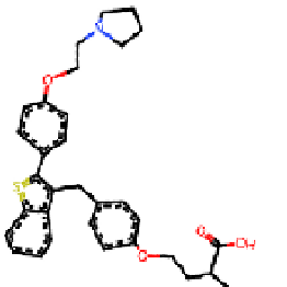 CC(CCOc1ccc(Cc2c(-c3ccc(OCCN4CCCC4)cc3)sc3ccccc23)cc1)C(=O)O